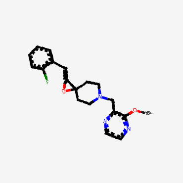 CC(C)(C)Oc1nccnc1CN1CCC2(CC1)OC2=Cc1ccccc1F